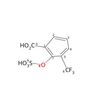 O=C(O)c1cccc(C(F)(F)F)c1OS(=O)(=O)O